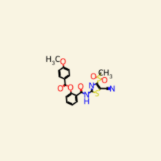 COc1ccc(C(=O)Oc2ccccc2C(=O)Nc2nc(S(C)(=O)=O)c(C#N)s2)cc1